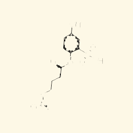 O=C(CCCO[N+](=O)[O-])Oc1ccc(O)cc1S(=O)(=O)O